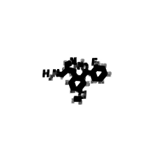 C=C.Cn1ncc(CN)c1-c1ccc(Cl)cc1C(=O)c1ccccc1F